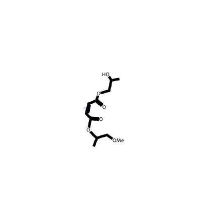 COCC(C)OC(=O)/C=C\C(=O)OCC(C)O